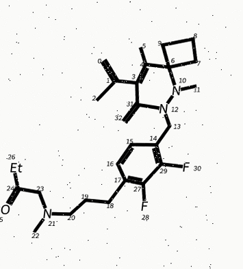 C=C(C)C1=C(C)C2(CCC2)N(C)N(Cc2ccc(CCCN(C)CC(=O)CC)c(F)c2F)C1=C